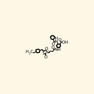 CCc1ccc(/C=C2\SC(=O)N(CCCC(=O)Nc3ccc(C(=O)O)c(NC(=O)c4ccccc4)c3)C2=O)cc1